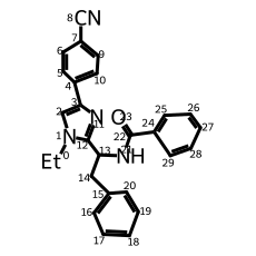 CCn1cc(-c2ccc(C#N)cc2)nc1C(Cc1ccccc1)NC(=O)c1ccccc1